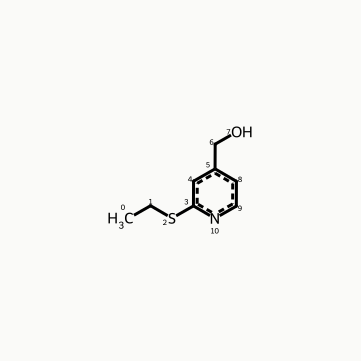 CCSc1cc(CO)ccn1